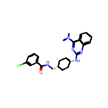 CN(C)c1nc(N[C@H]2CC[C@@H](CNC(=O)c3cccc(Cl)c3)CC2)nc2ccccc12